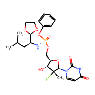 CC(C)C[C@H](N[P@](=O)(OC[C@H]1O[C@@H](n2ccc(=O)[nH]c2=O)[C@](C)(F)[C@@H]1O)Oc1ccccc1)C1OCCO1